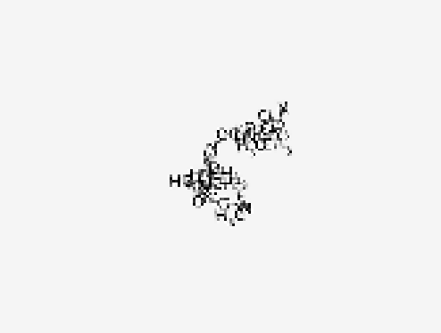 Cc1ncsc1-c1ccc(CNC(=O)[C@@H]2C[C@@H](O)CN2C(=O)[C@@H](NC(=O)CN2CCN(CCOc3ccc(C(=O)N[C@H]4C(C)(C)[C@H](Oc5ccc(C#N)c(Cl)c5)C4(C)C)cc3)CC2)C(C)(C)C)cc1